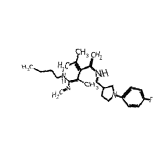 C=N/C(NCCCC)=C(\C)C(C(=C)NCC1CCN(c2ccc(F)cc2)C1)=C(C)C